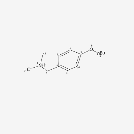 [CH2-][NH+](C)Cc1ccc(OCCCC)cc1